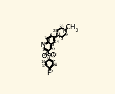 CN1CCN(c2ccc3ncc(S(=O)(=O)c4ccc(F)cc4)cc3c2)CC1